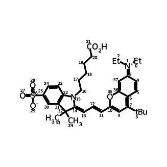 CC[N+](CC)=c1ccc2c(C(C)(C)C)cc(C=CC=C3N(CCCCCC(=O)O)c4ccc(S(=O)(=O)[O-])cc4C3(C)C)oc-2c1